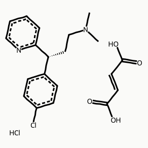 CN(C)CC[C@H](c1ccc(Cl)cc1)c1ccccn1.Cl.O=C(O)C=CC(=O)O